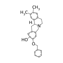 Cc1cc2c(cc1C)[C@@H]1Cc3cc(O)c(OCc4ccccc4)cc3CN1CC2